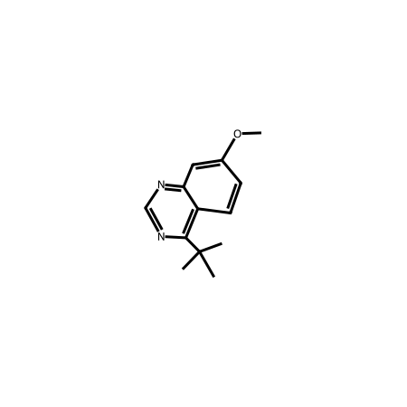 COc1ccc2c(C(C)(C)C)ncnc2c1